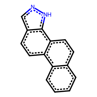 c1ccc2c(c1)ccc1c2ccc2cn[nH]c21